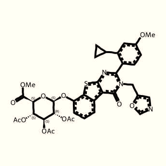 COC(=O)[C@H]1O[C@@H](Oc2cccc3c2sc2nc(-c4ccc(OC)cc4C4CC4)n(Cc4cnco4)c(=O)c23)[C@H](OC(C)=O)[C@@H](OC(C)=O)[C@@H]1OC(C)=O